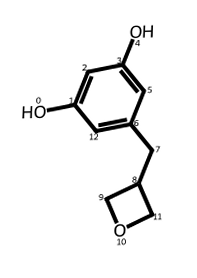 Oc1cc(O)cc(CC2COC2)c1